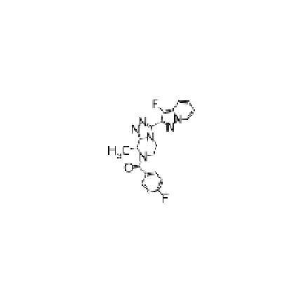 CC1c2nnc(-c3nn4ccccc4c3F)n2CCN1C(=O)c1ccc(F)cc1